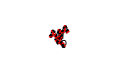 c1ccc(N(c2ccccc2)c2ccc3c(c2)c2ccccc2n3-c2nc(-n3c4ccccc4c4cc(N(c5ccccc5)c5ccccc5)ccc43)c3cc(-n4c5ccccc5c5cc6c(cc54)oc4ccccc46)ccc3n2)cc1